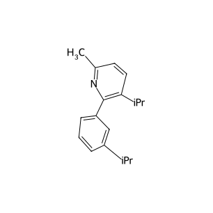 Cc1ccc(C(C)C)c(-c2cccc(C(C)C)c2)n1